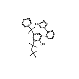 CC(C)(C)CC(C)(C)c1cc(C(C)(C)c2ccccc2)cc(-c2ccccc2-c2c[nH]nn2)c1O